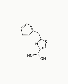 N#C[C@H](O)c1csc(Cc2ccccc2)n1